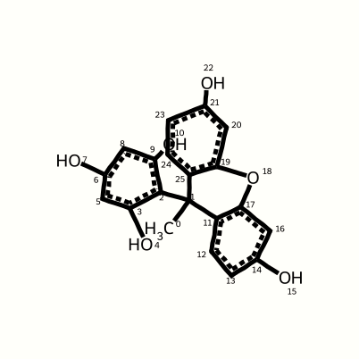 CC1(c2c(O)cc(O)cc2O)c2ccc(O)cc2Oc2cc(O)ccc21